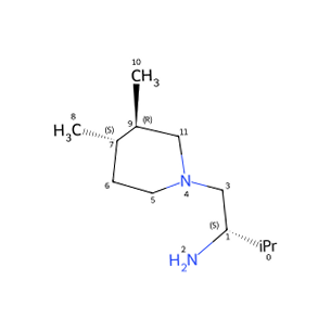 CC(C)[C@H](N)CN1CC[C@H](C)[C@@H](C)C1